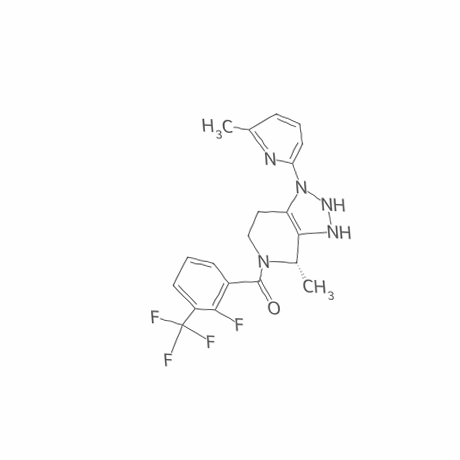 Cc1cccc(N2NNC3=C2CCN(C(=O)c2cccc(C(F)(F)F)c2F)[C@H]3C)n1